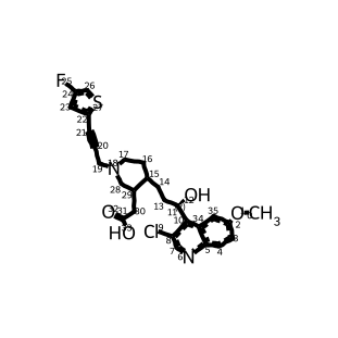 COc1ccc2ncc(Cl)c([C@H](O)CCC3CCN(CC#Cc4cc(F)cs4)CC3CC(=O)O)c2c1